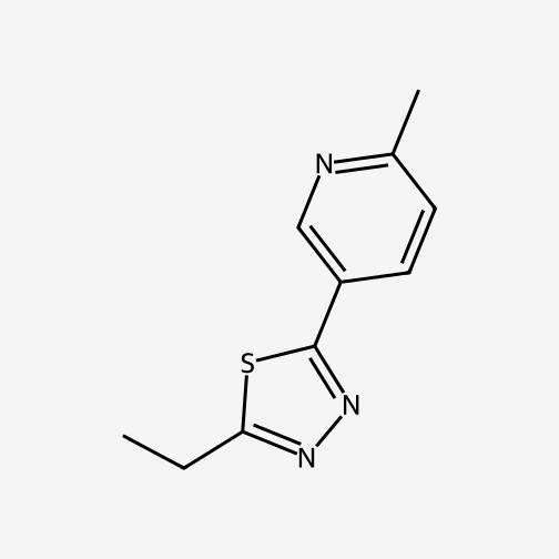 CCc1nnc(-c2ccc(C)nc2)s1